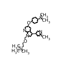 CN(C)c1ccc(Oc2cnc3c(c2)c(-c2cnn(C)c2)cn3COCC[Si](C)(C)C)cc1